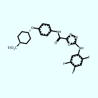 CCOC(=O)[C@H]1CC[C@H](Oc2ccc(NC(=O)c3nnc(Nc4cc(F)c(F)cc4F)o3)cc2)CC1